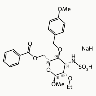 CCO[C@@H]1[C@@H](OC)O[C@H](COC(=O)c2ccccc2)[C@@H](OCc2ccc(OC)cc2)[C@@H]1NS(=O)(=O)O.[NaH]